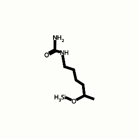 CC(CCCCNC(N)=O)O[SiH3]